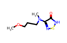 COCCCN(C)c1ns[nH]c1=O